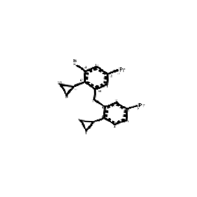 CC(C)c1ccc(C2CC2)c(Cc2cc(C(C)C)cc(F)c2C2CC2)c1